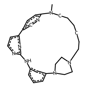 CN1CCCCCCN2CCN(CC2)c2cccc(c2)Nc2nccc(n2)-c2ccc1nc2